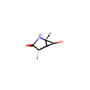 C[C@@H]1C(=O)N[C@@H]2C(O)C21